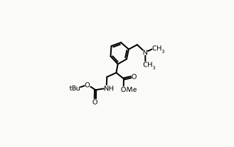 COC(=O)C(CNC(=O)OC(C)(C)C)c1cccc(CN(C)C)c1